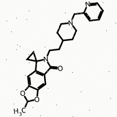 CC1Oc2cc3c(cc2O1)C1(CC1)N(CCC1CCN(Cc2ccccn2)CC1)C3=O